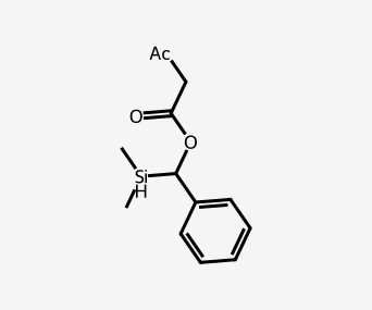 CC(=O)CC(=O)OC(c1ccccc1)[SiH](C)C